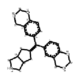 c1cc2c(cc1C(=C1CC3CNCC3C1)c1ccc3c(c1)COCO3)COCO2